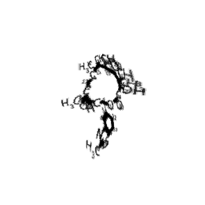 Cc1nc2cc([C@@H]3C[C@@H]4O[C@]4(C)CCC[C@H](C)[C@H](C)[C@@H](C)C(=O)C(C)(C)[C@@H](O)CC(=O)O3)ccc2s1